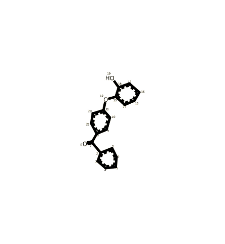 O=C(c1ccccc1)c1ccc(Oc2ccccc2O)cc1